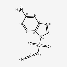 [N-]=[N+]=NS(=O)(=O)n1cnc2cc(N)ccc21